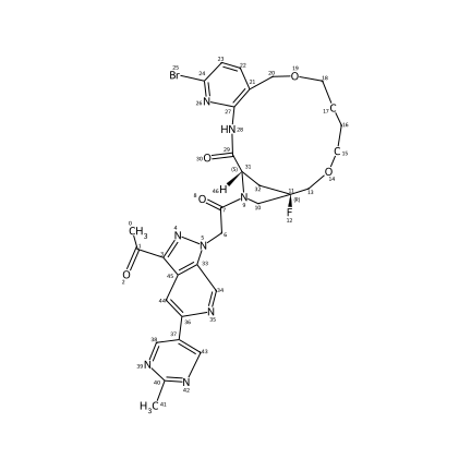 CC(=O)c1nn(CC(=O)N2C[C@@]3(F)COCCCCOCc4ccc(Br)nc4NC(=O)[C@@H]2C3)c2cnc(-c3cnc(C)nc3)cc12